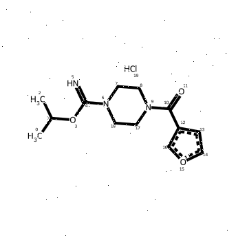 CC(C)OC(=N)N1CCN(C(=O)c2ccoc2)CC1.Cl